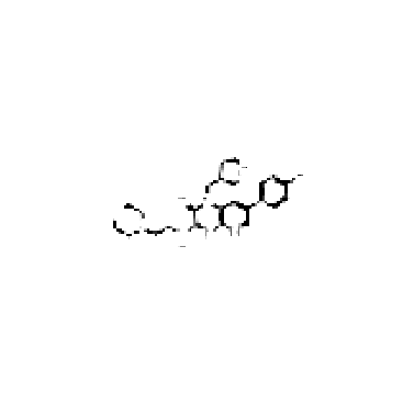 O=c1c(NCCN2CCOCC2)nc2ncc(-c3ccc(F)cc3)cc2n1CC1CCOC1